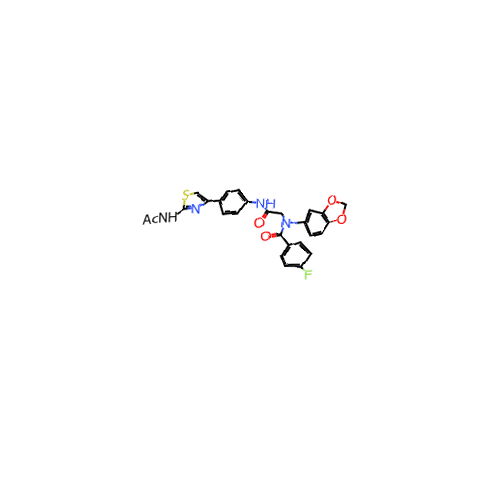 CC(=O)Nc1nc(-c2ccc(NC(=O)CN(C(=O)c3ccc(F)cc3)c3ccc4c(c3)OCO4)cc2)cs1